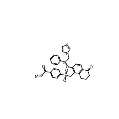 CNC(=O)c1ccc(S(=O)(=O)Cc2c(O[C@H](Cn3ccnc3)c3ccccc3)ccc3c2CCCC3=O)cc1